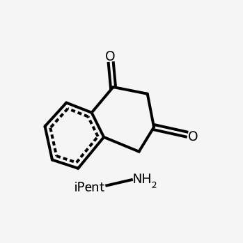 CCCC(C)N.O=C1CC(=O)c2ccccc2C1